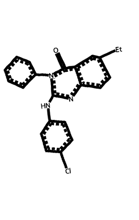 CCc1ccc2nc(Nc3ccc(Cl)cc3)n(-c3ccccc3)c(=O)c2c1